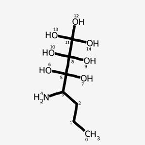 CCCC(N)C(O)(O)C(O)(O)C(O)(O)O